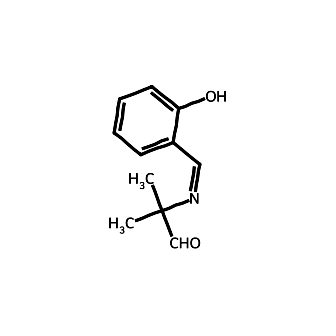 CC(C)(C=O)/N=C\c1ccccc1O